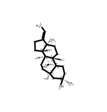 CC=C1CC[C@H]2[C@@H]3CC[C@@H]4C[C@](C)(O)CC[C@]4(CO)[C@H]3CC[C@]12C